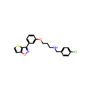 Clc1ccc(CNCCCOc2cccc(-c3noc4ccsc34)c2)cc1